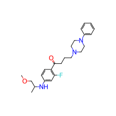 COCC(C)Nc1ccc(C(=O)CCCN2CCN(c3ccccc3)CC2)c(F)c1